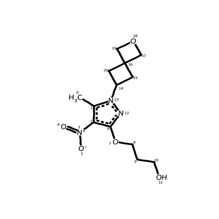 Cc1c([N+](=O)[O-])c(OCCCO)nn1C1CC2(COC2)C1